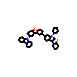 c1ccc(-n2c3cc(-c4ccc5oc6ccc(-n7c8ccccc8c8ccccc87)cc6c5c4)ccc3c3c4ccccc4oc32)cc1